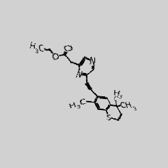 CCOC(=O)Cc1cncc(C#Cc2cc3c(cc2C)SCCC3(C)C)n1